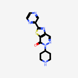 O=c1c2sc(-c3cnccn3)nc2cnn1C1CCNCC1